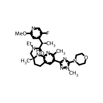 CCN(C[C@@]1(C)CCc2cc(-c3nc(N4CCOCC4)n(C)n3)c(C)nc2N1)C(=O)[C@H](C)c1cc(OC)ncc1F